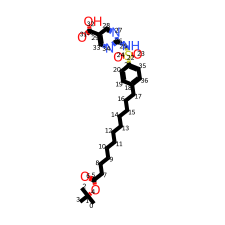 CC(C)(C)OC(=O)CCCCCCCCCCCc1ccc(S(=O)(=O)Nc2ncc(C(=O)O)cn2)cc1